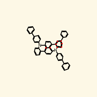 C1=CCC(c2ccc(N(c3ccc(-c4ccccc4)cc3)c3ccccc3-c3ccc(N(c4ccc(-c5ccccc5)cc4)c4ccc(-c5ccccc5)cc4)cc3)cc2)C=C1